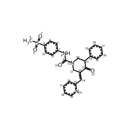 CS(=O)(=O)c1ccc(NC(=O)N2CC(=Cc3ccccn3)C(=O)C(c3ccccc3)C2)cc1